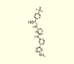 Cc1nc(-c2cccc(Nc3nccc(NCC(O)c4ccc(C(F)(F)F)cc4)n3)c2)cs1